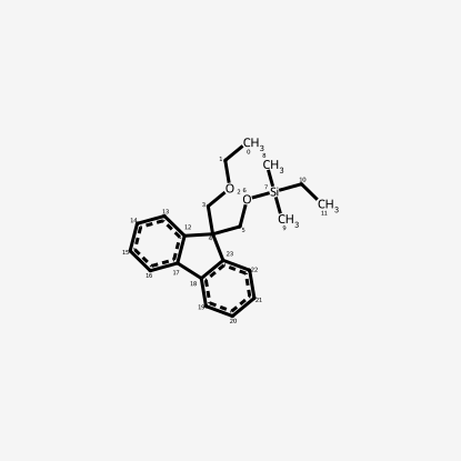 CCOCC1(CO[Si](C)(C)CC)c2ccccc2-c2ccccc21